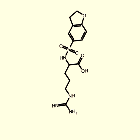 N=C(N)NCCCC(NS(=O)(=O)c1ccc2c(c1)CCO2)C(=O)O